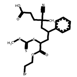 CSC(=S)SC(CC(CC(C)(C#N)CCC(=O)O)c1ccccc1)C(=O)OCCBr